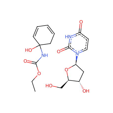 CCOC(=O)NC1(O)C=CC=CC1.O=c1ccn([C@H]2C[C@H](O)[C@@H](CO)O2)c(=O)[nH]1